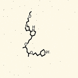 CCOCCCN1CCC(C2CC(CCCOC(C)CCC(C)OCCCC3CCNCC3)CCN2)C1